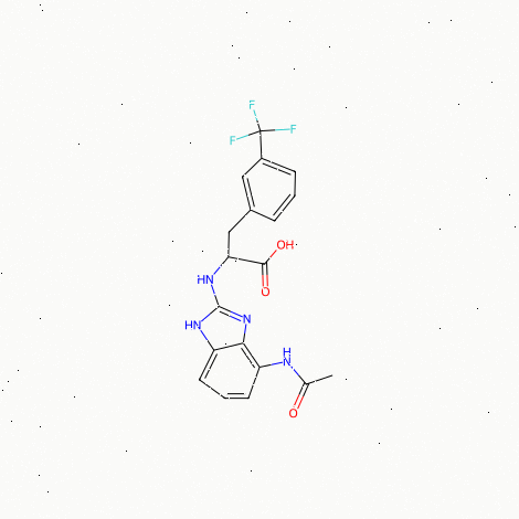 CC(=O)Nc1cccc2[nH]c(NC(Cc3cccc(C(F)(F)F)c3)C(=O)O)nc12